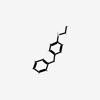 CCOc1ccc(Cc2cc[c]cc2)cc1